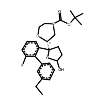 CCc1cccc(-c2c(F)cccc2C2([C@H]3CN(C(=O)OC(C)(C)C)CCO3)CCC(O)O2)c1